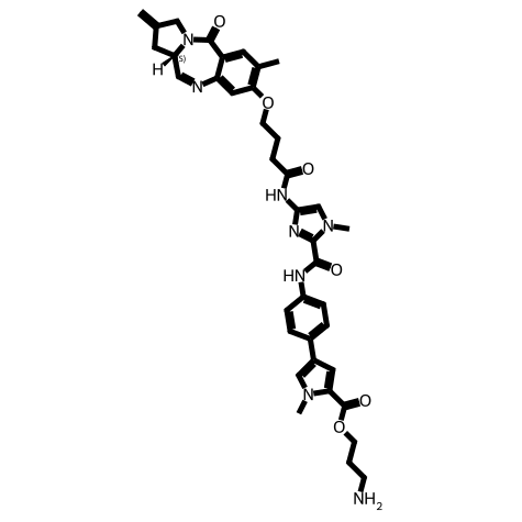 C=C1C[C@H]2C=Nc3cc(OCCCC(=O)Nc4cn(C)c(C(=O)Nc5ccc(-c6cc(C(=O)OCCCN)n(C)c6)cc5)n4)c(C)cc3C(=O)N2C1